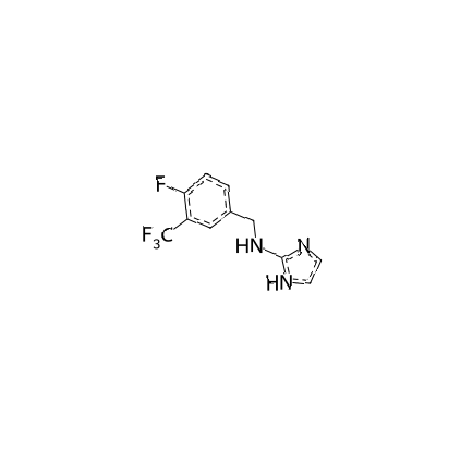 Fc1ccc(CNc2ncc[nH]2)cc1C(F)(F)F